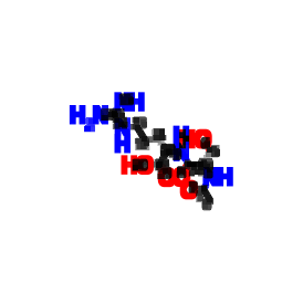 CC(=O)N[C@@H](CO)C(=O)N[C@@H](CCCNC(=N)N)C(=O)O